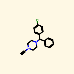 C#CN1CCN(C(c2ccccc2)c2ccc(Cl)cc2)CC1